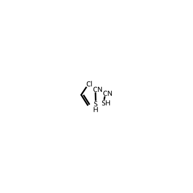 C=CCl.N#CS.N#CS